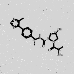 Cc1ncsc1-c1ccc([C@H](C)NC(=O)[C@@H]2C[C@@H](O)CN2C(=O)[C@@H](C)C(C)(C)C)cc1